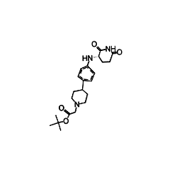 CC(C)(C)OC(=O)CN1CCC(c2ccc(N[C@H]3CCC(=O)NC3=O)cc2)CC1